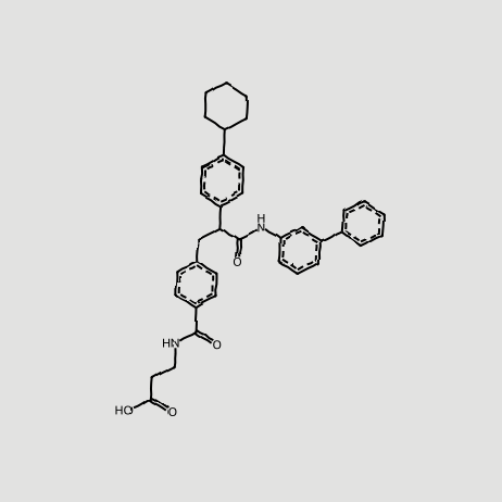 O=C(O)CCNC(=O)c1ccc(CC(C(=O)Nc2cccc(-c3ccccc3)c2)c2ccc(C3CCCCC3)cc2)cc1